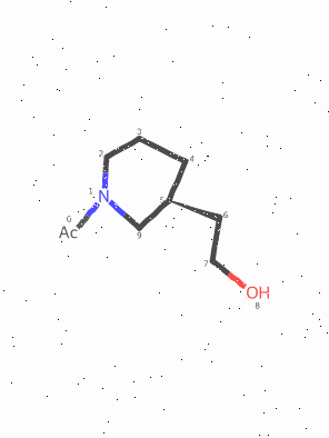 CC(=O)N1CCC[C@@H](CCO)C1